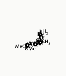 COc1ccc(C(=O)Nc2ccc(-n3ccc(C)c(N4CCc5nc(N)ncc5C4)c3=O)cc2)cc1OC